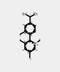 CCC(CC)c1ccc(-c2c(C)cc(C)c[n+]2C)c(C)c1